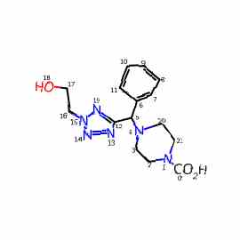 O=C(O)N1CCN(C(c2ccccc2)c2nnn(CCO)n2)CC1